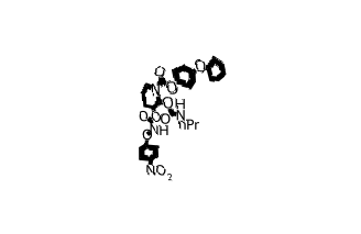 CCCNC(=O)OC1C(OC(=O)NOc2ccc([N+](=O)[O-])cc2)CCCN1C(=O)Oc1ccc(Oc2ccccc2)cc1